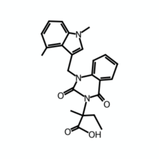 CCC(C)(C(=O)O)n1c(=O)c2ccccc2n(Cc2cn(C)c3cccc(C)c23)c1=O